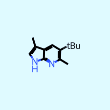 Cc1nc2[nH]cc(C)c2cc1C(C)(C)C